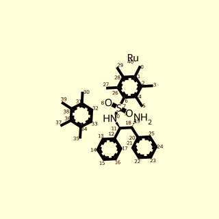 Cc1c(C)c(C)c(S(=O)(=O)N[C@H](c2ccccc2)[C@H](N)c2ccccc2)c(C)c1C.Cc1ccc(C)c(C)c1C.[Ru]